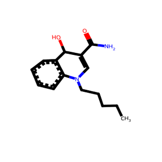 CCCCCN1C=C(C(N)=O)C(O)c2ccccc21